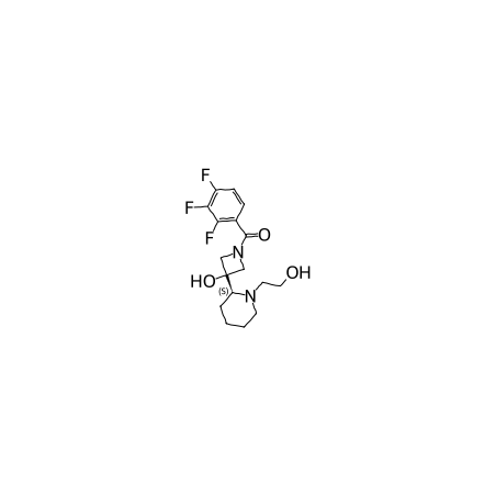 O=C(c1ccc(F)c(F)c1F)N1CC(O)([C@@H]2CCCCN2CCO)C1